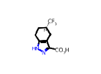 O=C(O)c1n[nH]c2c1C[C@@H](C(F)(F)F)CC2